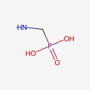 [NH]CP(=O)(O)O